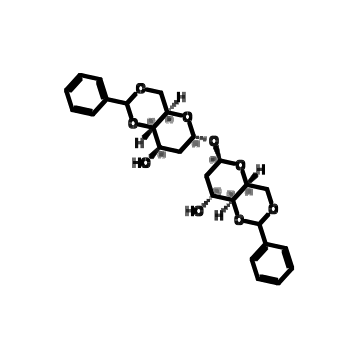 O[C@@H]1C[C@@H](O[C@@H]2C[C@@H](O)[C@@H]3OC(c4ccccc4)OC[C@H]3O2)O[C@@H]2COC(c3ccccc3)O[C@@H]12